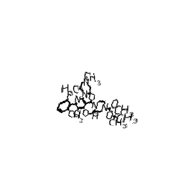 Cc1cccc(F)c1-c1nc(N2CCN(C)C[C@@H]2C)c2c(c1Cl)OC[C@H]1CN(C(=O)OC(C)(C)C)CCN1C2=O